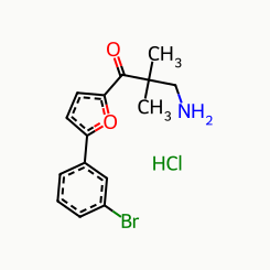 CC(C)(CN)C(=O)c1ccc(-c2cccc(Br)c2)o1.Cl